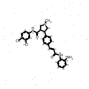 CN1CC(C(=O)Nc2ccc(Cl)c(Cl)c2)C(c2ccc(/C=C/C(=O)Nc3ccccc3N)cc2)C1